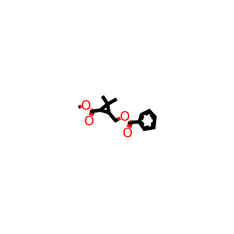 COC(=O)C1C(COC(=O)c2ccccc2)C1(C)C